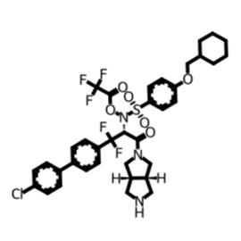 O=C([C@@H](N(OC(=O)C(F)(F)F)S(=O)(=O)c1ccc(OCC2CCCCC2)cc1)C(F)(F)c1ccc(-c2ccc(Cl)cc2)cc1)N1C[C@H]2CNC[C@H]2C1